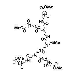 COC(=O)C1CC(=O)N(CCNC(=O)CCN(CCNC(=O)CCN(CCSC)CCC(=O)NCCN(CCC(=O)NCCN2CC(C(=O)OC)CC2=O)CCC(=O)NCCN2CC(C(=O)OC)CC2=O)CCC(=O)NCCN2CC(C(=O)OC)CC2=O)C1